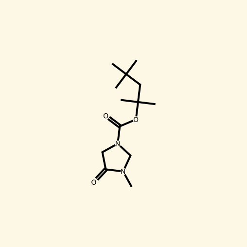 CN1CN(C(=O)OC(C)(C)CC(C)(C)C)CC1=O